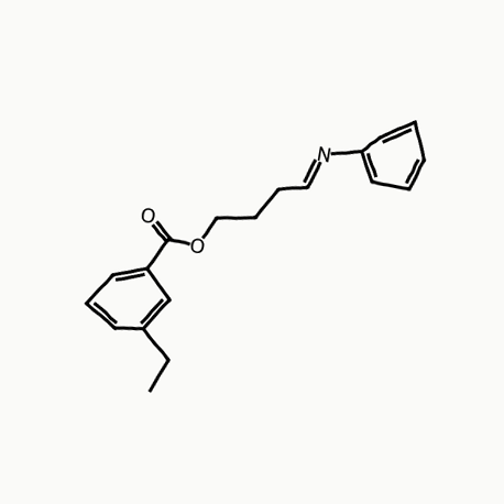 CCc1cccc(C(=O)OCCCC=Nc2ccccc2)c1